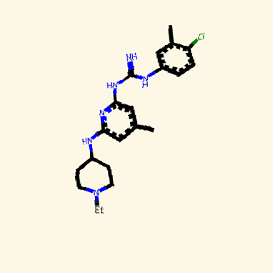 CCN1CCC(Nc2cc(C)cc(NC(=N)Nc3ccc(Cl)c(C)c3)n2)CC1